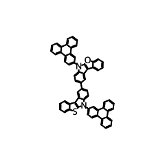 c1ccc2c(c1)oc1c2c2cc(-c3ccc4c(c3)c3c5ccccc5sc3n4-c3ccc4c5ccccc5c5ccccc5c4c3)ccc2n1-c1ccc2c3ccccc3c3ccccc3c2c1